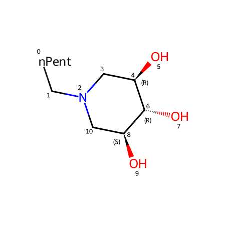 CCCCCCN1C[C@@H](O)[C@H](O)[C@@H](O)C1